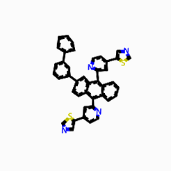 c1ccc(-c2cccc(-c3ccc4c(-c5cc(-c6cncs6)ccn5)c5ccccc5c(-c5cc(-c6cncs6)ccn5)c4c3)c2)cc1